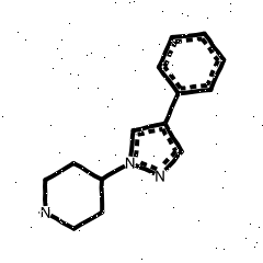 c1ccc(-c2cnn(C3CC[N]CC3)c2)cc1